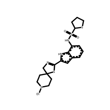 CCN1CCC2(CC1)CN=C(c1cc3cccc(NS(=O)(=O)C4CCCS4)c3[nH]1)S2